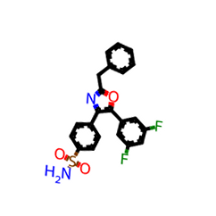 NS(=O)(=O)c1ccc(-c2nc(Cc3ccccc3)oc2-c2cc(F)cc(F)c2)cc1